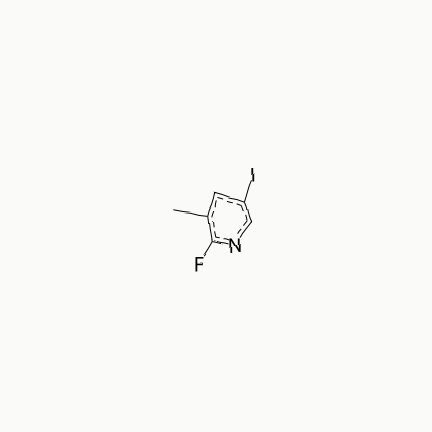 Cc1cc(I)cnc1F